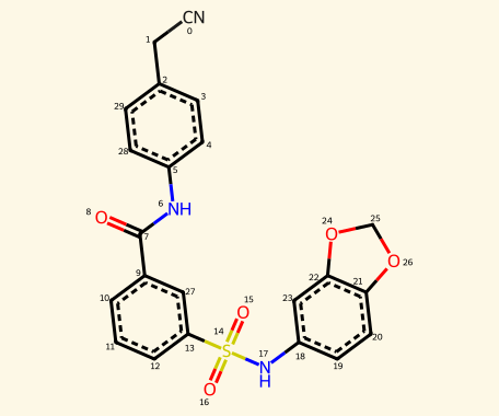 N#CCc1ccc(NC(=O)c2cccc(S(=O)(=O)Nc3ccc4c(c3)OCO4)c2)cc1